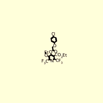 CCOC(=O)c1c(C(F)(F)F)nc(C(F)(F)F)c(OCC)c1OC(=O)COc1ccc(Cl)cc1